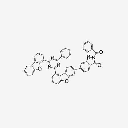 O=c1c2ccccc2n2c3cc(-c4ccc5c(c4)oc4cccc(-c6nc(-c7ccccc7)nc(-c7cccc8c7oc7ccccc78)n6)c45)ccc3c(=O)n12